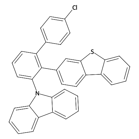 Clc1ccc(-c2cccc(-n3c4ccccc4c4ccccc43)c2-c2ccc3c(c2)sc2ccccc23)cc1